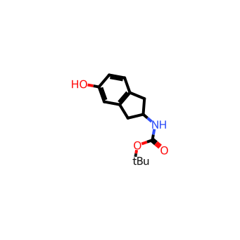 CC(C)(C)OC(=O)NC1Cc2ccc(O)cc2C1